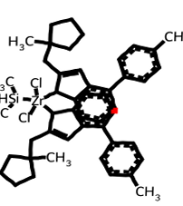 Cc1ccc(-c2cccc3c2C=C(CC2(C)CCCC2)[CH]3[Zr]([Cl])([Cl])([CH]2C(CC3(C)CCCC3)=Cc3c(-c4ccc(C)cc4)cccc32)[SiH](C)C)cc1